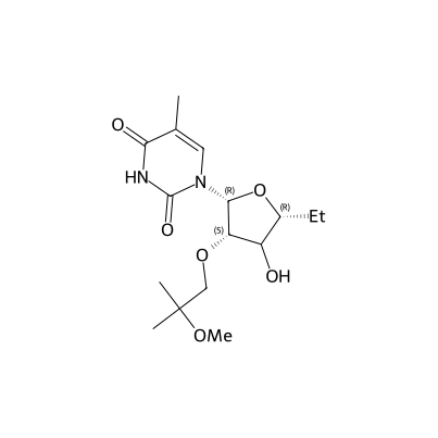 CC[C@H]1O[C@@H](n2cc(C)c(=O)[nH]c2=O)[C@@H](OCC(C)(C)OC)C1O